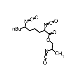 CCCCC(CCCC(N=C=O)C(=O)OCC(C)N=C=O)N=C=O